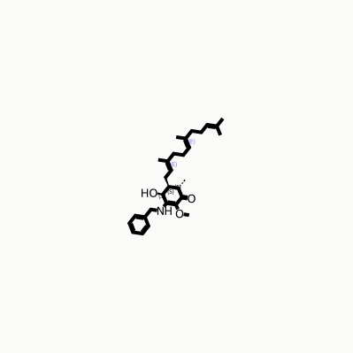 COC1=C(NCc2ccccc2)[C@@H](O)[C@@H](C/C=C(\C)CC/C=C(\C)CCC=C(C)C)[C@H](C)C1=O